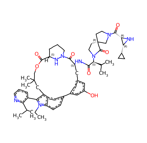 CCn1c(-c2cccnc2C(C)C)c2c3cc(ccc31)-c1cc(O)cc(c1)C[C@H](NC(=O)[C@H](C(C)C)N1CC[C@@]3(CCN(C(=O)[C@@H]4N[C@@H]4C4CC4)C3)C1=O)C(=O)N1CCC[C@H](N1)C(=O)OCC(C)(C)C2